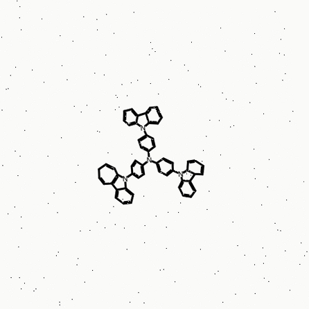 C1=CC2c3ccccc3N(c3ccc(N(c4ccc(-n5c6c(c7ccccc75)C=CCC=C6)cc4)c4ccc(-n5c6ccccc6c6ccccc65)cc4)cc3)C2C=C1